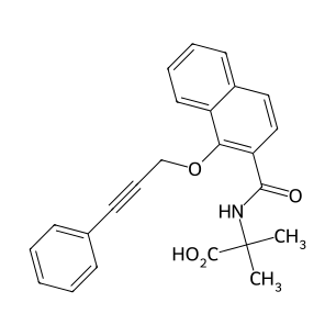 CC(C)(NC(=O)c1ccc2ccccc2c1OCC#Cc1ccccc1)C(=O)O